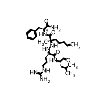 C=CCCC[C@](C)(NN[C@@H](CCCNC(=N)N)C(=O)N[C@H](C=O)CC(C)C)C(=O)N[C@@H](Cc1ccccc1)C(N)=O